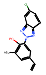 C=Cc1cc(CCCC)c(O)c(-n2nc3ccc(Cl)cc3n2)c1